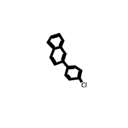 Clc1ccc(-c2[c]c3ccccc3cc2)cc1